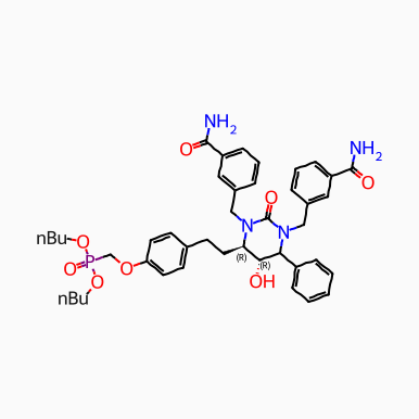 CCCCOP(=O)(COc1ccc(CC[C@@H]2[C@@H](O)C(c3ccccc3)N(Cc3cccc(C(N)=O)c3)C(=O)N2Cc2cccc(C(N)=O)c2)cc1)OCCCC